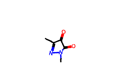 CC1=NN(C)C(=O)C1=O